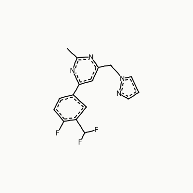 Cc1nc(Cn2cccn2)cc(-c2ccc(F)c(C(F)F)c2)n1